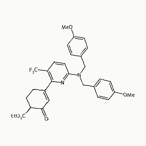 CCOC(=O)C1CCC(c2nc(N(Cc3ccc(OC)cc3)Cc3ccc(OC)cc3)ccc2C(F)(F)F)=CC1=O